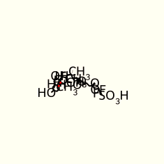 C[C@H](CCC(=O)OCCCC(=O)OCC(F)(F)S(=O)(=O)O)[C@H]1CC[C@H]2[C@@H]3C(O)C[C@@H]4CC(O)CC[C@]4(C)[C@H]3CC(O)[C@]12C